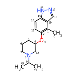 Cc1c(OC2CCCN(C(C)C)C2)ccc2[nH]ncc12